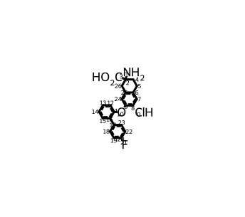 Cl.NC1(C(=O)O)CCc2ccc(Oc3ccccc3-c3ccc(F)cc3)cc2C1